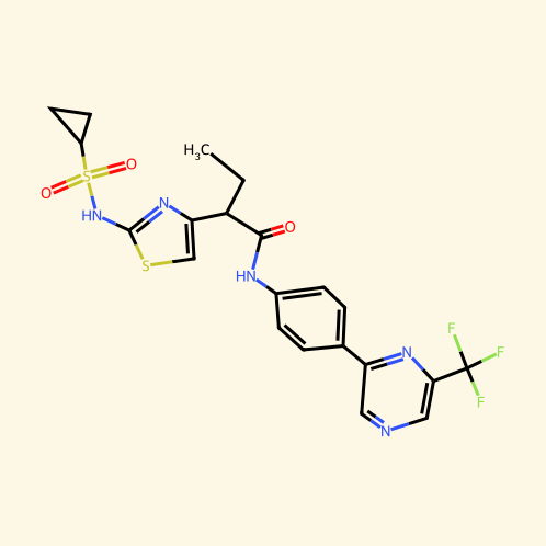 CCC(C(=O)Nc1ccc(-c2cncc(C(F)(F)F)n2)cc1)c1csc(NS(=O)(=O)C2CC2)n1